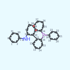 c1ccc(Nc2ccccc2-c2ccccc2P(c2ccccc2)c2ccccc2)cc1